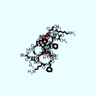 C/C=C(\NC(=O)C(CCCCN)NC(=O)C(C)NC(=O)C1CSC(C)C(NC(=O)C2CSCC(NC(=O)C(C)NC(=O)C(N)C(C)CC)C(=O)NC(CCCCN)C(=O)NC(Cc3ccccc3)C(=O)NC(C(C)CC)C(=O)N2)C(=O)N2CCCC2C(=O)NCC(=O)N1)C(=O)NCC(=O)NC1CSCC2NC(=O)C(Cc3ccc(O)cc3)NC(=O)C(CS/C=C\NC2=O)NC(=O)C(CC(N)=O)NC(=O)C(Cc2ccccc2)NC1=O